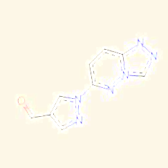 O=Cc1cnn(-c2ccc3nncn3n2)c1